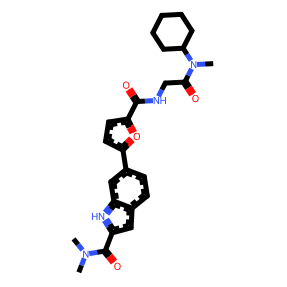 CN(C)C(=O)c1cc2ccc(-c3ccc(C(=O)NCC(=O)N(C)C4CCCCC4)o3)cc2[nH]1